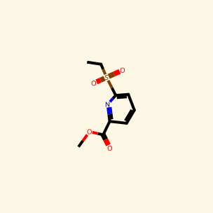 CCS(=O)(=O)c1cccc(C(=O)OC)n1